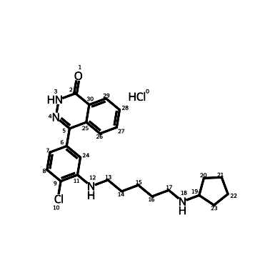 Cl.O=c1[nH]nc(-c2ccc(Cl)c(NCCCCCNC3CCCC3)c2)c2ccccc12